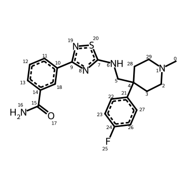 CN1CCC(CNc2nc(-c3cccc(C(N)=O)c3)ns2)(c2ccc(F)cc2)CC1